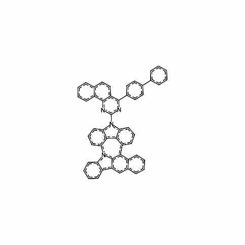 c1ccc(-c2ccc(-c3nc(-n4c5cccc6c5c5c4cccc5n4c5ccccc5c5cc7ccccc7c6c54)nc4c3ccc3ccccc34)cc2)cc1